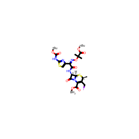 BOC(=O)C1=C(CI)[C@H](C)S[C@@H]2[C@H](NC(=O)/C(=N\OC(C)(C)C(=O)OCCCC)c3csc(NC(=O)OC(C)(C)C)n3)C(=O)N12